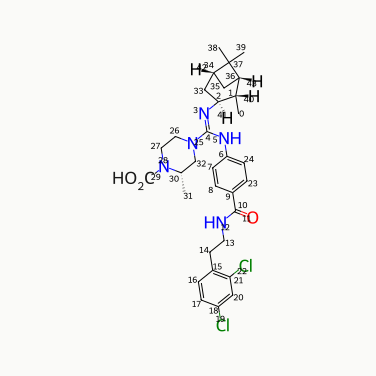 C[C@@H]1[C@@H](/N=C(\Nc2ccc(C(=O)NCCc3ccc(Cl)cc3Cl)cc2)N2CCN(C(=O)O)[C@@H](C)C2)C[C@H]2C[C@@H]1C2(C)C